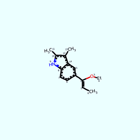 CC=C(OCC)c1ccc2[nH]c(C)c(C)c2c1